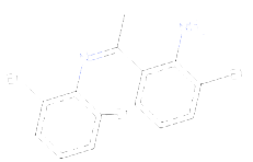 CCc1cccc(/C(C)=N\c2c(CC)cccc2CC)c1N